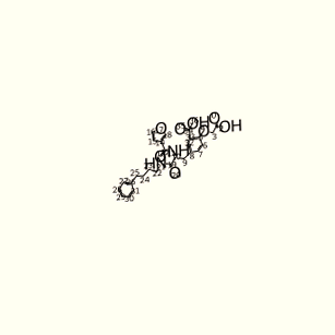 O=C(O)COc1ccc(C[C@H](NC(=O)c2ccoc2)C(=O)NCCCCc2ccccc2)cc1C(=O)O